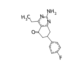 CCc1nc(N)nc2c1C(=O)CC(c1ccc(F)cc1)C2